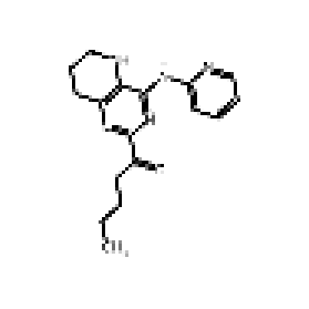 CCCCC(=O)c1nc2c(c(Nc3ccccn3)n1)NCCC2